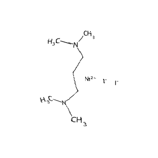 CN(C)CCCN(C)C.[I-].[I-].[Ni+2]